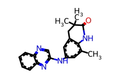 Cc1cc(Nc2cnc3ccccc3n2)cc2c1NC(=O)C(C)(C)C2